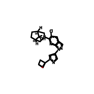 CC1(O)[C@@H]2CC[C@H]1CN(c1nc3c(cnn3-c3cnn(C45CC(C4)C5)c3)cc1Cl)C2